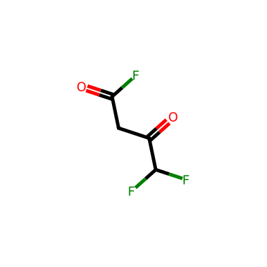 O=C(F)CC(=O)C(F)F